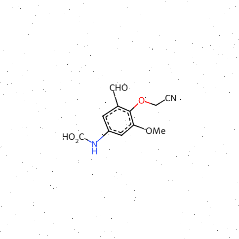 COc1cc(NC(=O)O)cc(C=O)c1OCC#N